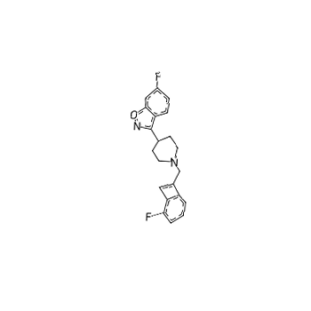 Fc1ccc2c(C3CCN(CC4=Cc5c(F)cccc54)CC3)noc2c1